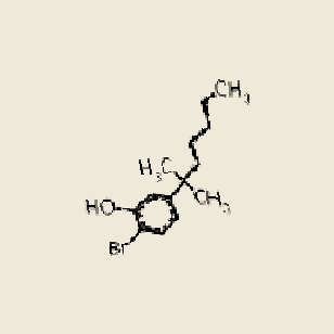 CCCCCC(C)(C)c1ccc(Br)c(O)c1